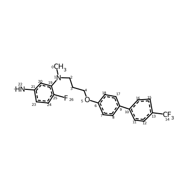 CN(CCCOc1ccc(-c2ccc(C(F)(F)F)cc2)cc1)c1cc([NH])ccc1F